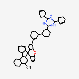 N#CC1CC2C(C3C=CC=CC3C23C2C=CC=CC2OC2CC(C4=CC(C5CCCC(C6NC(C7C=CCCC7)NC(C7CC=CCC7)N6)C5)CCC4)CCC23)C2CCCCC12